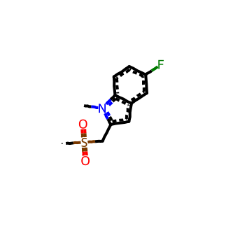 [CH2]S(=O)(=O)Cc1cc2cc(F)ccc2n1C